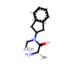 CC(C)[C@H](N)C(=O)N(CC(=O)O)C1Cc2ccccc2C1